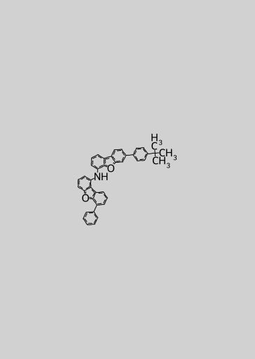 CC(C)(C)c1ccc(-c2ccc3c(c2)oc2c(Nc4cccc5oc6c(-c7ccccc7)cccc6c45)cccc23)cc1